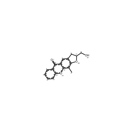 Cc1c2c(cc3c(=O)c4ccccc4oc13)CC(CO)O2